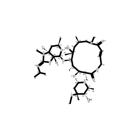 CO[C@]1(C)C[C@H](O[C@H]2[C@H](C)[C@@H](O[C@@H]3O[C@H](C)C[C@H]4[C@H]3O/C(=N\C(C)C)N4C)[C@](C)(O)C[C@@H](C)CN(C)C(=O)/C=C/COC(=O)[C@@H]2C)O[C@@H](C)[C@@H]1O